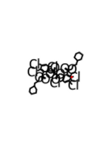 O=C(Oc1c(Cl)cc(Cl)c(Cl)c1C(=O)OCCC1CCCCC1)C(=O)Oc1c(Cl)cc(Cl)c(Cl)c1C(=O)OCCC1CCCCC1